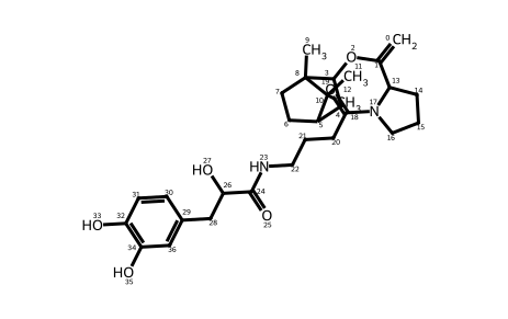 C=C(OC1CC2CCC1(C)C2(C)C)C1CCCN1C(=O)CCCNC(=O)C(O)Cc1ccc(O)c(O)c1